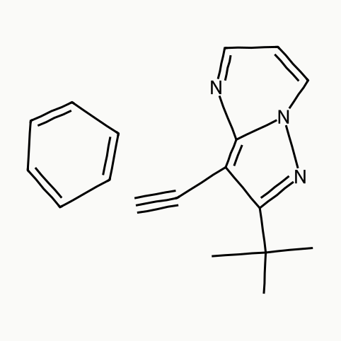 C#Cc1c(C(C)(C)C)nn2cccnc12.c1ccccc1